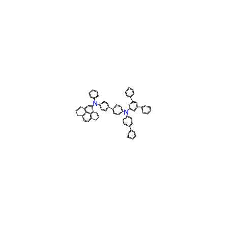 C1=Cc2cc(N(c3ccccc3)c3ccc(-c4ccc(N(c5ccc(-c6ccccc6)cc5)c5cc(-c6ccccc6)cc(-c6ccccc6)c5)cc4)cc3)c3c4c(ccc(c24)C1)CC=C3